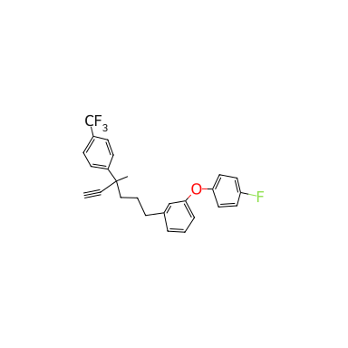 C#CC(C)(CCCc1cccc(Oc2ccc(F)cc2)c1)c1ccc(C(F)(F)F)cc1